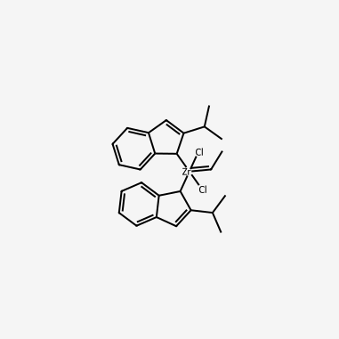 C[CH]=[Zr]([Cl])([Cl])([CH]1C(C(C)C)=Cc2ccccc21)[CH]1C(C(C)C)=Cc2ccccc21